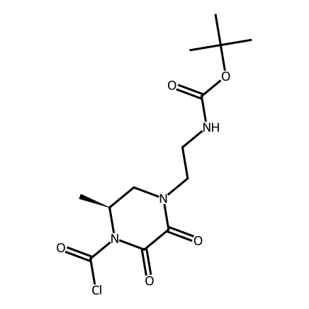 C[C@H]1CN(CCNC(=O)OC(C)(C)C)C(=O)C(=O)N1C(=O)Cl